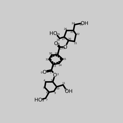 O=C(OC1CCC(CO)CC1CO)c1ccc(C(=O)OC2CCC(CO)CC2CO)cc1